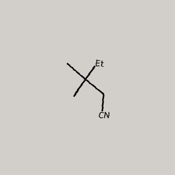 CCC(C)(C)CC#N